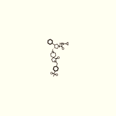 CS(=O)(=O)c1ccc(CN2CCC3(CCN(C[C@H]4CN(C(=O)NC5CC5)CC4c4ccccc4)CC3)C2=O)cc1